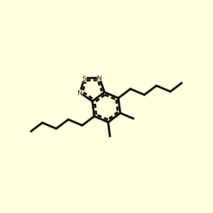 CCCCCc1c(C)c(C)c(CCCCC)c2nsnc12